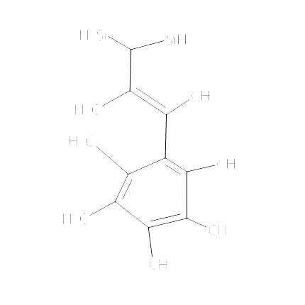 CC(=C(C)C([SiH3])[SiH3])c1c(C)c(C)c(C)c(C)c1C